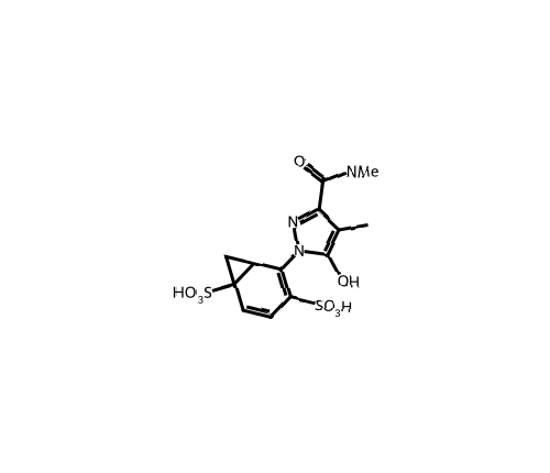 CNC(=O)c1nn(C2=C(S(=O)(=O)O)C=CC3(S(=O)(=O)O)CC23)c(O)c1C